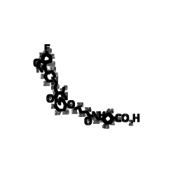 Cc1nc2n(c(=O)c1CCN1CCC(c3noc4cc(F)ccc34)CC1)CCCC2OCCCCC(=O)NCc1ccc(C(=O)O)cc1